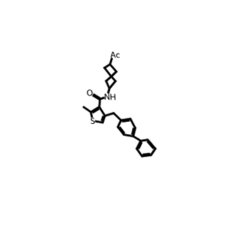 CC(=O)C1CC2(CC(NC(=O)c3c(Cc4ccc(-c5ccccc5)cc4)csc3C)C2)C1